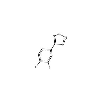 Fc1ccc(C2=N[N]N=N2)cc1F